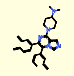 C=C/C=C\C(=C/C=C)c1nc(N2CCC(N(C)C)CC2)c2cncn2c1C(/C=C\C)=C/C=C